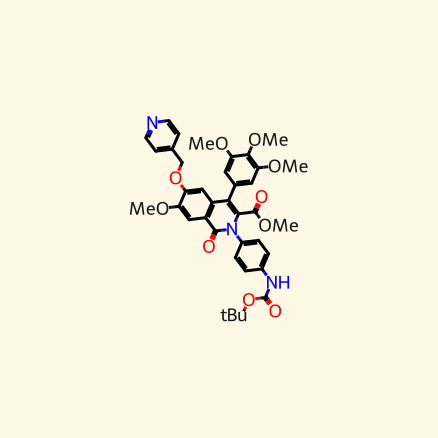 COC(=O)c1c(-c2cc(OC)c(OC)c(OC)c2)c2cc(OCc3ccncc3)c(OC)cc2c(=O)n1-c1ccc(NC(=O)OC(C)(C)C)cc1